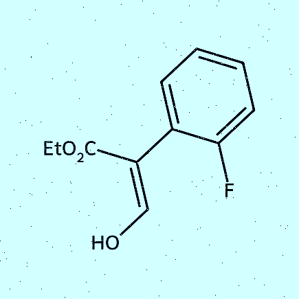 CCOC(=O)C(=CO)c1ccccc1F